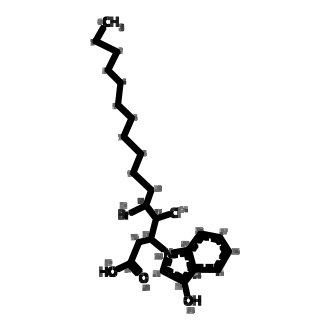 CCCCCCCCCCCC(Br)C(Cl)C(CC(=O)O)n1cc(O)c2ccccc21